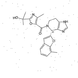 Cc1nc(C(C)(C)O)oc1C(=O)N1CCc2[nH]cnc2[C@@H]1c1cc2cccc(C)c2o1